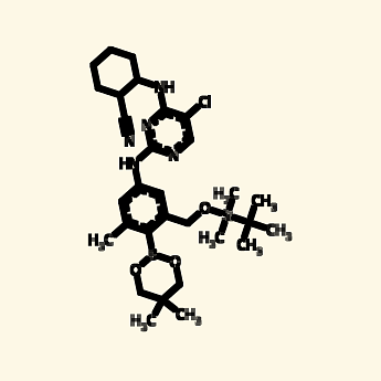 Cc1cc(Nc2ncc(Cl)c(NC3CCCCC3C#N)n2)cc(CO[Si](C)(C)C(C)(C)C)c1B1OCC(C)(C)CO1